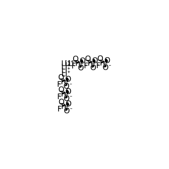 O=[Te](=O)([O-])F.O=[Te](=O)([O-])F.O=[Te](=O)([O-])F.O=[Te](=O)([O-])F.O=[Te](=O)([O-])F.O=[Te](=O)([O-])F.[Li+].[Li+].[Li+].[Li+].[Li+].[Li+]